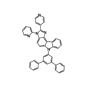 c1ccc(-c2cc(-c3ccccc3)cc(-n3c4ccccc4c4c5nc(-c6ccncc6)n(-c6ccccn6)c5ccc43)c2)cc1